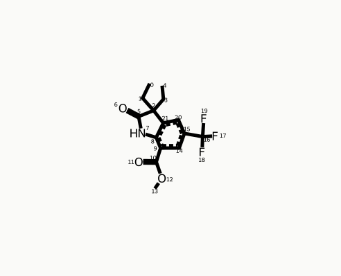 CCC1(CC)C(=O)Nc2c(C(=O)OC)cc(C(F)(F)F)cc21